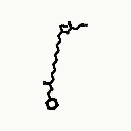 CCCCCCCCCCCC(=O)OC(CCCCCC)CCCCCCCCCCC(=O)OCc1ccccc1